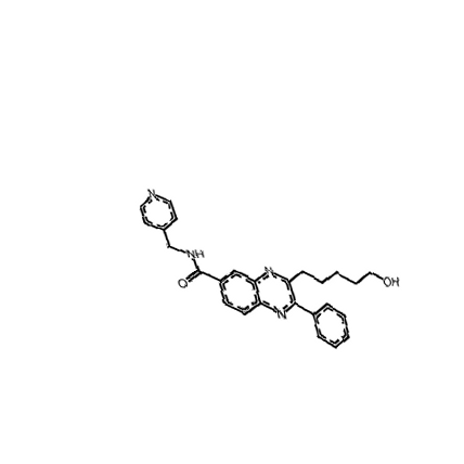 O=C(NCc1ccncc1)c1ccc2nc(-c3ccccc3)c(CCCCCO)nc2c1